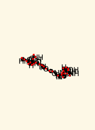 CC[C@H](NC)C(=O)N[C@@H]1C(=O)N2[C@@H](CC[C@@H]1CNC(=O)CCc1cn(COCCC3CCC(COCCn4cc([C@@H](NC(=O)[C@@H]5CC[C@@H]6CC[C@H](CO)[C@H](NC(=O)[C@H](CC)NC)C(=O)N65)c5ccccc5)nn4)CC3)nn1)CC[C@H]2C(=O)NCc1ccccc1